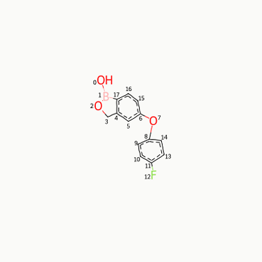 OB1OCc2cc(Oc3ccc(F)cc3)ccc21